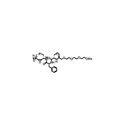 COCCOCCOCCSCC(=O)N[C@@H](CC(C)C)C(O)N[C@@H](Cc1ccccc1)C(=O)N[C@@H](CC(C)C)C1OC1[C@@]1(C)CO1